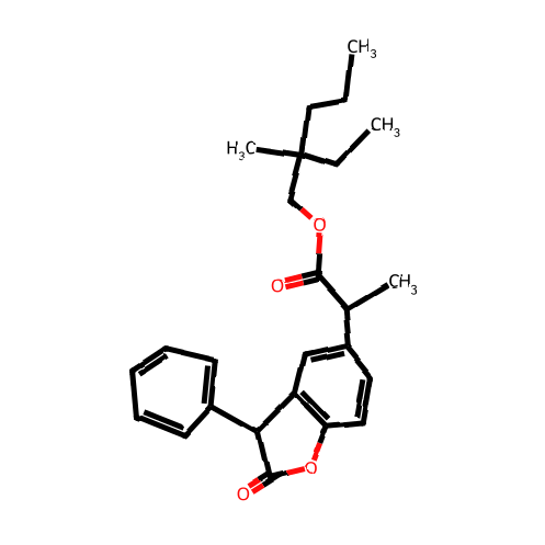 CCCC(C)(CC)COC(=O)C(C)c1ccc2c(c1)C(c1ccccc1)C(=O)O2